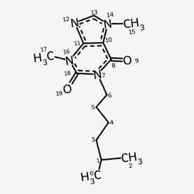 CC(C)CCCCn1c(=O)c2c(ncn2C)n(C)c1=O